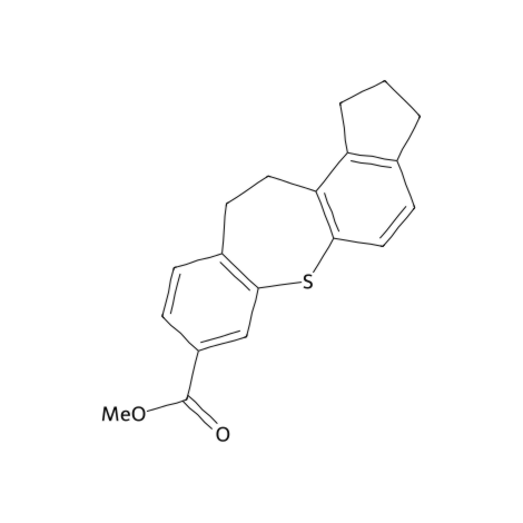 COC(=O)c1ccc2c(c1)Sc1ccc3c(c1CC2)CCC3